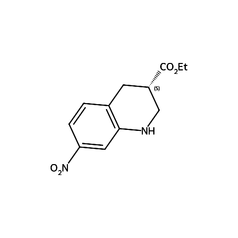 CCOC(=O)[C@@H]1CNc2cc([N+](=O)[O-])ccc2C1